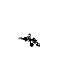 Cc1nc(CN2CCN([C@H](C(=O)N[C@@H](Cc3ccccc3)[C@@H](O)CN(CCN(C)C)S(=O)(=O)c3ccc(C=NO)cc3)C(C)C)C2=O)cs1